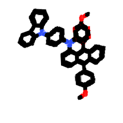 COc1ccc(-c2c3ccccc3c(-c3ccc(OC)cc3)c3c(N(c4ccccc4)c4ccc(-n5c6ccccc6c6ccccc65)cc4)cccc23)cc1